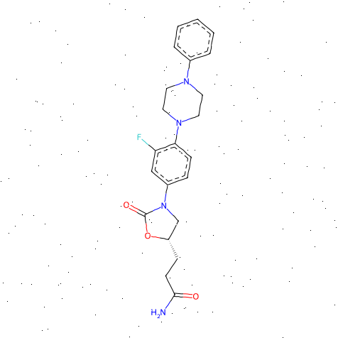 NC(=O)CC[C@H]1CN(c2ccc(N3CCN(c4ccccc4)CC3)c(F)c2)C(=O)O1